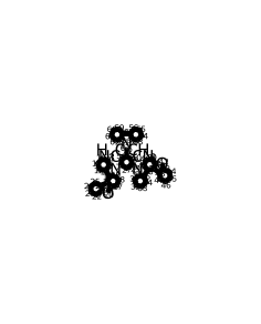 CC(C)(c1c(C#N)c(-n2c3ccccc3c3c4c(ccc32)oc2ccccc24)cc(-n2c3ccccc3c3c4c(ccc32)oc2ccccc24)c1C#N)n1c2ccccc2c2ccccc21